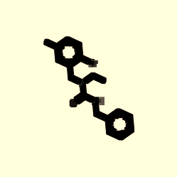 CCN(Cc1cc(C)ccc1Br)C(=O)NCc1ccccc1